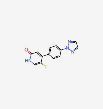 O=c1cc(-c2ccc(-n3nccn3)cc2)c(F)c[nH]1